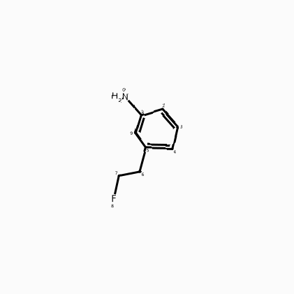 Nc1cccc(CCF)c1